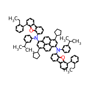 CCc1ccccc1-c1cccc2c1oc1c(N(c3cccc(C(C)C)c3)c3cc(C4CCCC4)c4ccc5c(N(c6cccc(C(C)C)c6)c6cccc7c6oc6c(-c8ccccc8CC)cccc67)cc(C6CCCC6)c6ccc3c4c65)cccc12